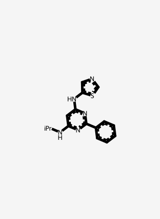 CC(C)Nc1cc(Nc2cncs2)nc(-c2ccccc2)n1